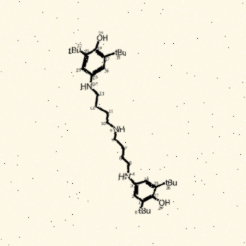 CC(C)(C)c1cc(NCCCCNCCCCNc2cc(C(C)(C)C)c(O)c(C(C)(C)C)c2)cc(C(C)(C)C)c1O